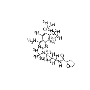 [2H]c1c(OC([2H])([2H])[2H])c(OC([2H])([2H])[2H])c([2H])c2c(N)nc(N(C([2H])([2H])[2H])C([2H])([2H])C([2H])([2H])C([2H])([2H])NC(=O)C3CCCO3)nc12